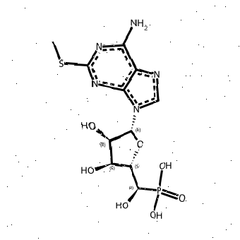 CSc1nc(N)c2ncn([C@@H]3O[C@H]([C@H](O)P(=O)(O)O)[C@@H](O)[C@H]3O)c2n1